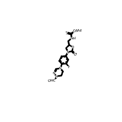 COC(=S)NCC1CN(c2ccc(N3C=NN(C=O)CC3)c(F)c2)C(=O)O1